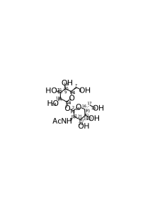 CC(=O)N[C@@H]1[C@@H](O[C@@H]2O[C@H](CO)[C@H](O)[C@H](O)[C@H]2O)O[C@H](CO)[C@@H](O)[C@@H]1O